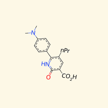 CCCc1cc(C(=O)O)c(=O)[nH]c1-c1ccc(N(C)C)cc1